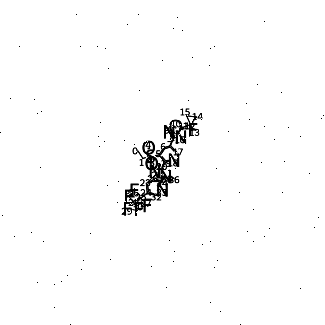 CCS(=O)(=O)c1cc(-c2noc(C3(F)CC3)n2)cnc1-c1nc2cc(C(F)(F)C(F)(F)F)cnc2n1C